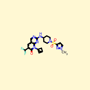 Cn1ccc(S(=O)(=O)N2CCC(Nc3ncc4cc(C(F)F)c(=O)n(C56CC(C5)C6)c4n3)CC2)n1